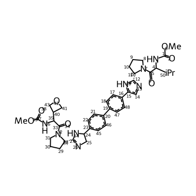 COC(=O)NC(C(=O)N1CCC[C@H]1c1ncc(-c2ccc(-c3ccc(C4CN=C([C@@H]5CCCN5C(=O)C(NC(=O)OC)C5COC5)N4)cc3)cc2)[nH]1)C(C)C